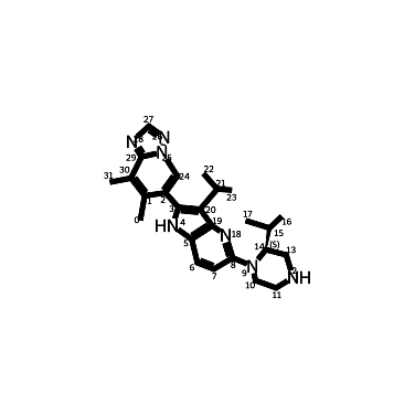 Cc1c(-c2[nH]c3ccc(N4CCNC[C@@H]4C(C)C)nc3c2C(C)C)cn2ncnc2c1C